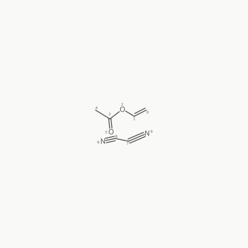 C=COC(C)=O.N#CC#N